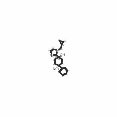 N#C[C@]1(c2ccccc2)CC[C@](O)(c2nccn2CC2CC2)CC1